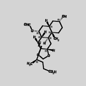 C[C@H](CCC(=O)O)C1CC[C@H]2[C@@H]3[C@H](OC=O)C[C@@H]4C[C@H](O)CC[C@]4(C)[C@H]3C[C@@H]3OCOC132